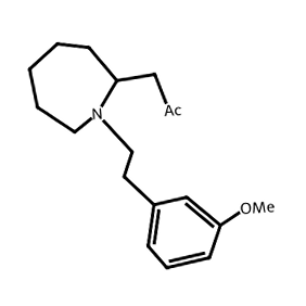 COc1cccc(CCN2CCCCCC2CC(C)=O)c1